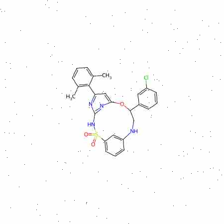 Cc1cccc(C)c1-c1cc2nc(n1)NS(=O)(=O)c1cccc(c1)NCC(c1cccc(Cl)c1)O2